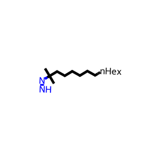 CCCCCCCCCCCCC(C)(C)N=N